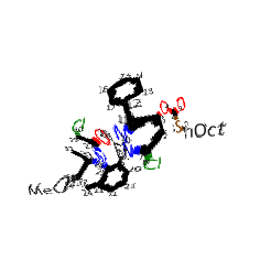 CCCCCCCCSC(=O)Oc1cc(Cl)nnc1-c1ccccc1.CCc1cccc(C)c1N(C(=O)CCl)C(C)COC